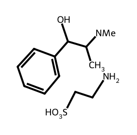 CNC(C)C(O)c1ccccc1.NCCS(=O)(=O)O